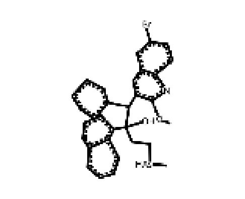 COc1nc2ccc(Br)cc2cc1C(c1ccccc1)C(O)(CC[AsH]C)c1cccc2ccccc12